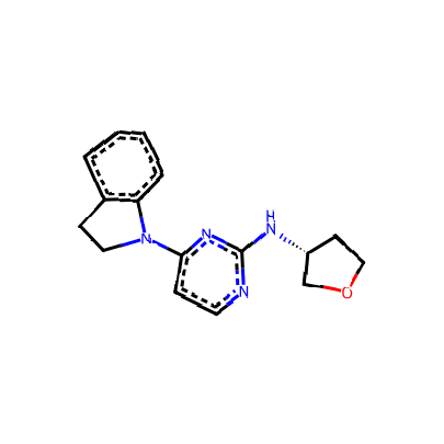 c1ccc2c(c1)CCN2c1ccnc(N[C@@H]2CCOC2)n1